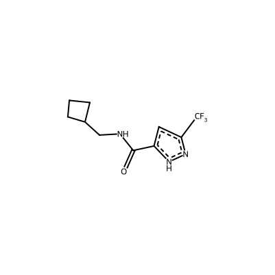 O=C(NCC1CCC1)c1cc(C(F)(F)F)n[nH]1